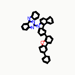 c1ccc(-c2ccc3oc4c(-c5ccc6c(c5)c5c7ccccc7ccc5n6-c5nc6ccccc6c6nc7ccccc7n56)cccc4c3c2)cc1